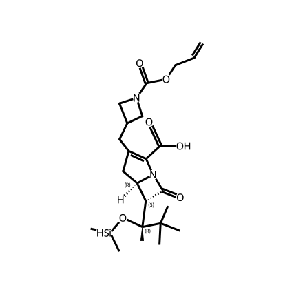 C=CCOC(=O)N1CC(CC2=C(C(=O)O)N3C(=O)[C@H]([C@@](C)(O[SiH](C)C)C(C)(C)C)[C@H]3C2)C1